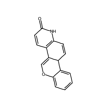 O=c1ccc2c([nH]1)C=CC1C2=COc2ccccc21